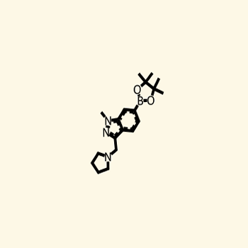 Cn1nc(CN2CCCC2)c2ccc(B3OC(C)(C)C(C)(C)O3)cc21